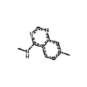 CNc1ncnc2cc(C)ccc12